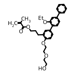 C=C(C)C(=O)OCCCc1cc(-c2ccc(-c3ccccc3)cc2OCC)ccc1OCCOCCO